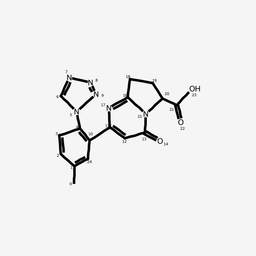 Cc1ccc(-n2cnnn2)c(-c2cc(=O)n3c(n2)CCC3C(=O)O)c1